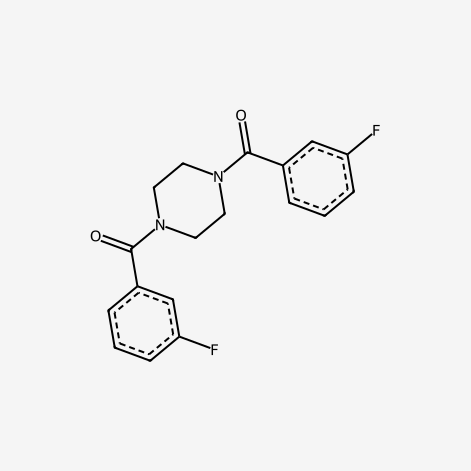 O=C(c1cccc(F)c1)N1CCN(C(=O)c2cccc(F)c2)CC1